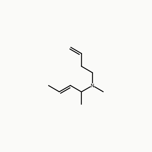 C=CCCN(C)C(C)C=CC